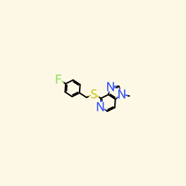 Cn1cnc2c(SCc3ccc(F)cc3)nccc21